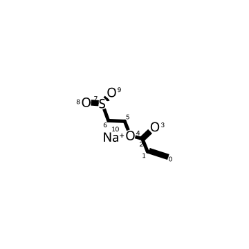 C=CC(=O)OCC[S-](=O)=O.[Na+]